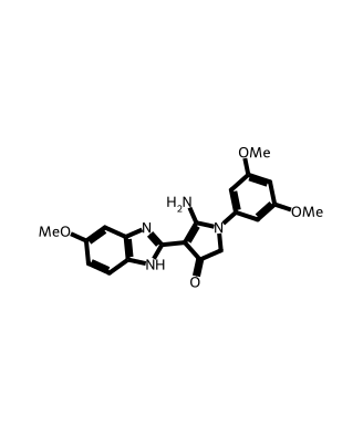 COc1cc(OC)cc(N2CC(=O)C(c3nc4cc(OC)ccc4[nH]3)=C2N)c1